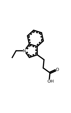 CCn1cc(CCC(=O)O)c2ccccc21